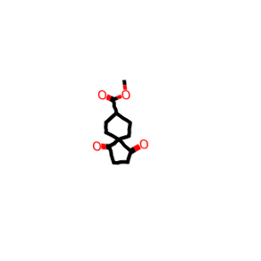 COC(=O)C1CCC2(CC1)C(=O)CCC2=O